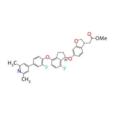 COC(=O)CC1COc2cc(O[C@@H]3CCc4c(Oc5ccc(-c6cc(C)nc(C)c6)cc5F)ccc(F)c43)ccc21